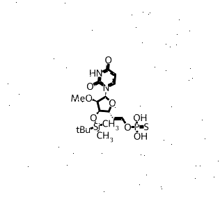 CO[C@@H]1[C@H](O[Si](C)(C)C(C)(C)C)[C@@H](/C=C/OP(O)(O)=S)O[C@H]1n1ccc(=O)[nH]c1=O